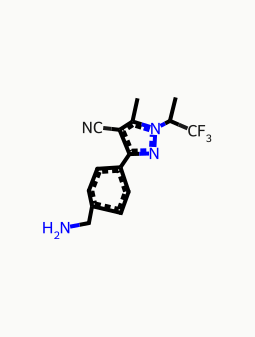 Cc1c(C#N)c(-c2ccc(CN)cc2)nn1C(C)C(F)(F)F